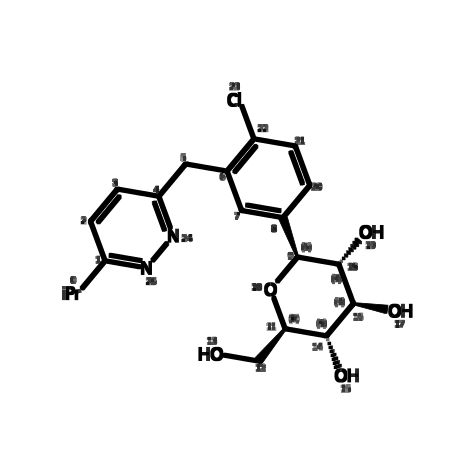 CC(C)c1ccc(Cc2cc([C@@H]3O[C@H](CO)[C@@H](O)[C@H](O)[C@H]3O)ccc2Cl)nn1